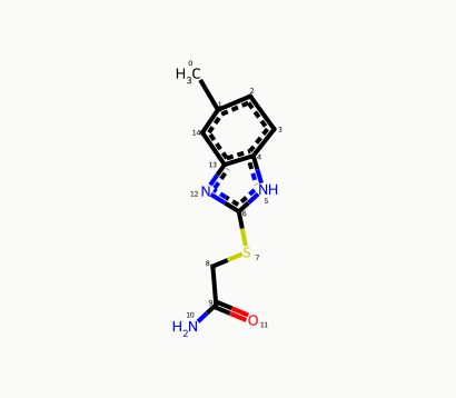 Cc1ccc2[nH]c(SCC(N)=O)nc2c1